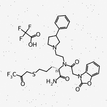 NC(=O)[C@H](CCCSCC(=O)C(F)(F)F)N(CCN1CCC(c2ccccc2)C1)C(=O)Cn1c(=O)oc2ccccc21.O=C(O)C(F)(F)F